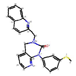 CSc1cccc(N2C(=O)N(Cc3ccc4ccccc4n3)Cc3cccnc32)c1